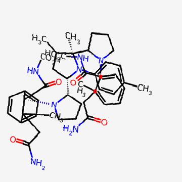 Cc1ccc(N2[C@H](C3CCCN3[C@@]3(C(=O)NC(=O)O)c4ccc(cc4)C3(C)CC(N)=O)CC(C)[C@@]2(C)C2CCCN2[C@@]2(C(=O)NC(=O)O)c3ccc(cc3)C2(C)CC(N)=O)cc1